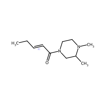 CC/C=C/C(=O)N1CCN(C)C(C)C1